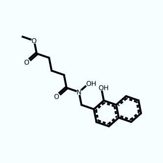 COC(=O)CCCC(=O)N(O)Cc1ccc2ccccc2c1O